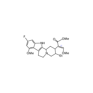 CCC1CN2CCc3c([nH]c4cc(F)cc(OC)c34)C2CC1/C(=C\OC)C(=O)OC